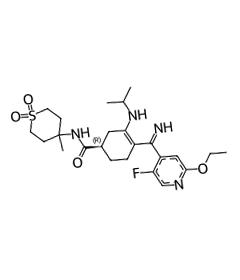 CCOc1cc(C(=N)C2=C(NC(C)C)C[C@H](C(=O)NC3(C)CCS(=O)(=O)CC3)CC2)c(F)cn1